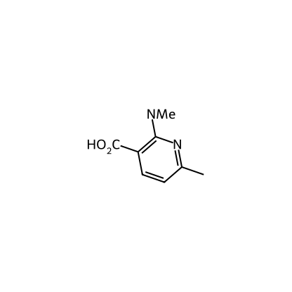 CNc1nc(C)ccc1C(=O)O